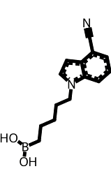 N#Cc1cccc2c1ccn2CCCCCB(O)O